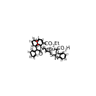 CCOC(=O)c1ccccc1N(CCCSc1nc2ccccc2n1C(C(=O)O)C(C)(C)C)C(=O)C(c1ccccc1)c1ccccc1